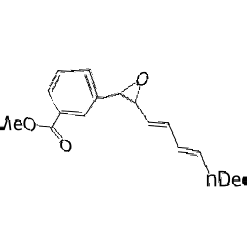 CCCCCCCCCC/C=C/C=C/C1OC1c1cccc(C(=O)OC)c1